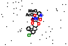 COc1ccnc(C(=O)N[C@H]2COC[C@H](Cc3ccc(Cl)cc3)[C@@H](Cc3ccccc3)[C@H](C)OC2=O)c1OCOC(C)=O